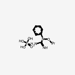 CC(C)ON(C(=N)N)c1ccccc1.O=P(O)(O)O